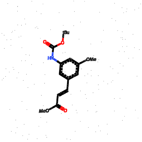 COC(=O)C=Cc1cc(NC(=O)OC(C)(C)C)cc(OC)c1